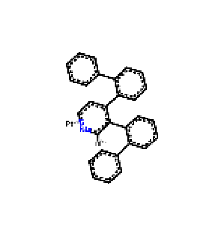 CCCc1nccc(-c2ccccc2-c2ccccc2)c1-c1ccccc1-c1ccccc1.[Pt+2]